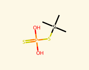 C[Si](C)(C)SP(O)(O)=S